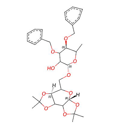 CC1O[C@H](OCC2O[C@@H]3OC(C)(C)OC3C3OC(C)(C)O[C@@H]23)C(O)C(OCc2ccccc2)[C@H]1OCc1ccccc1